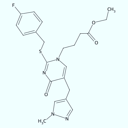 CCOC(=O)CCCn1cc(Cc2cnn(C)c2)c(=O)nc1SCc1ccc(F)cc1